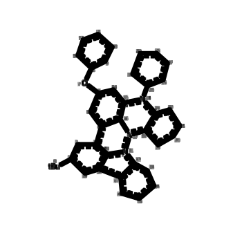 CC(C)(C)c1cc2c3cc(Oc4ccccc4)cc4c3-n(c3ccccc3n4-c3ccccc3)n3c4ccccc4c(c1)c23